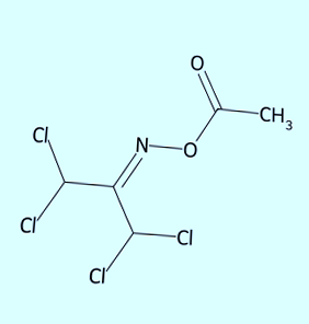 CC(=O)ON=C(C(Cl)Cl)C(Cl)Cl